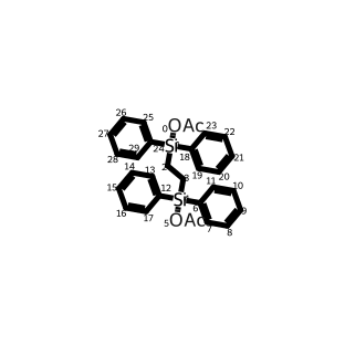 CC(=O)O[Si](CC[Si](OC(C)=O)(c1ccccc1)c1ccccc1)(c1ccccc1)c1ccccc1